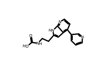 O=C(O)NCCc1cc2c(-c3cccnc3)ccnc2[nH]1